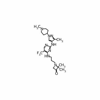 Cc1nn(C2CCN(C)CC2)cc1Nc1ncc(C(F)(F)F)c(NCCCN2CC(=O)C2(C)C)n1